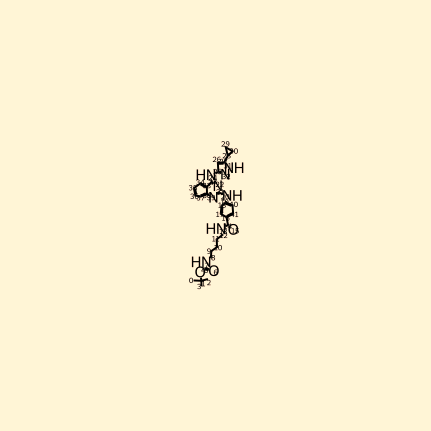 CC(C)(C)OC(=O)NCCCCCNC(=O)c1ccc(Nc2nc(Nc3cc(C4CC4)[nH]n3)c3ccccc3n2)cc1